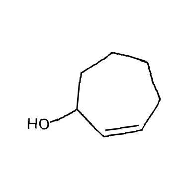 OC1C=CCCCC1